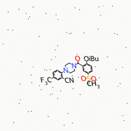 CC(C)COc1ccc(S(C)(=O)=O)cc1C(=O)N1CCN(c2ccc(C(F)(F)F)cc2C#N)CC1